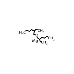 CCCCC(CC)COCC(CC)CCCC.[Mg]